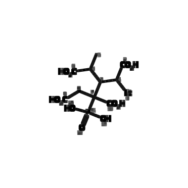 CCC(C(=O)O)C(C(C)C(=O)O)C(CC(=O)O)(C(=O)O)P(=O)(O)O